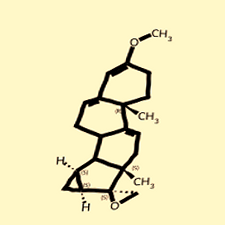 COC1=CC2=CCC3C(=CC[C@@]4(C)C3[C@@H]3C[C@@H]3[C@@]43CO3)[C@@]2(C)CC1